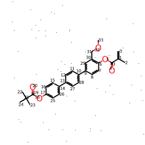 C=C(C)C(=O)Oc1ccc(-c2ccc(-c3ccc(OC(=O)C(C)(C)C)cc3)cc2)cc1COC